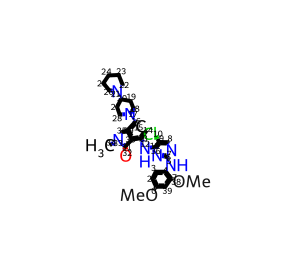 COc1ccc(Nc2ncc(Cl)c(Nc3ccc(N4CCC(N5CCCCC5)CC4)c4c3C(=O)N(C)C4)n2)c(OC)c1